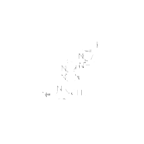 Cc1ccc(C#N)nc1-c1cnc2c(Nc3ccc(CF)cn3)ccnc2n1